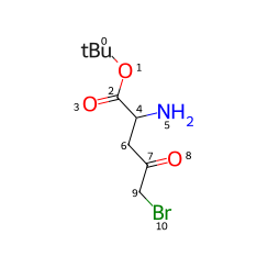 CC(C)(C)OC(=O)C(N)CC(=O)CBr